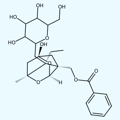 CC[C@]1(CC2OC(CO)C(O)C(O)C2O)[C@@]2(COC(=O)c3ccccc3)C[C@@]3(O)C[C@]1(C)O[C@H]2O3